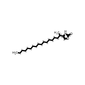 CCCCCCCCCCCCCCCCC(C)c1coc(=O)[nH]1